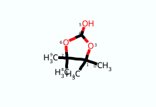 CC1(C)OC(O)OC1(C)C